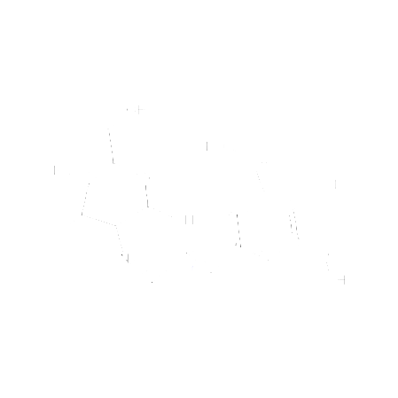 COc1cc(/C=C/C=N\C2C(O)OC(CO)C(O)C2O)cc(OC)c1O